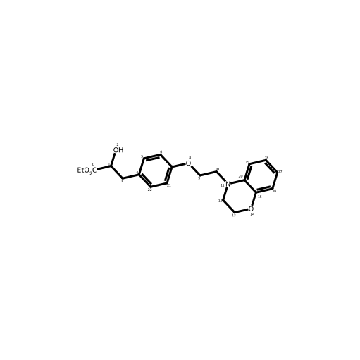 CCOC(=O)C(O)Cc1ccc(OCCN2CCOc3ccccc32)cc1